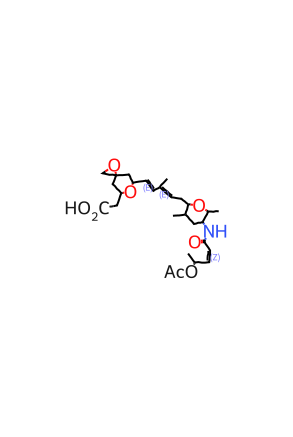 CC(=O)OC(C)/C=C\C(=O)NC1CC(C)C(C/C=C(C)/C=C/C2CC3(CO3)CC(CC(=O)O)O2)OC1C